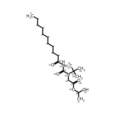 CCCCCCCCCCC(=O)NC(=O)N(CC(=O)OC(C)O)C(C)(C)C